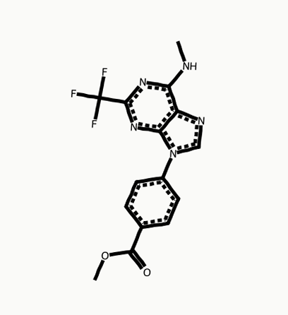 CNc1nc(C(F)(F)F)nc2c1ncn2-c1ccc(C(=O)OC)cc1